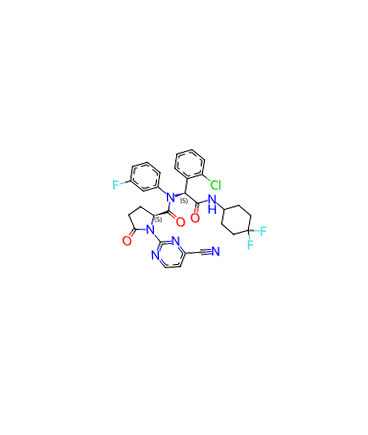 N#Cc1ccnc(N2C(=O)CC[C@H]2C(=O)N(c2cccc(F)c2)[C@H](C(=O)NC2CCC(F)(F)CC2)c2ccccc2Cl)n1